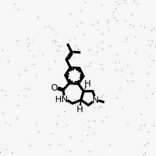 CC(C)=Cc1ccc2c(c1)C(=O)NC[C@H]1CN(C)C[C@H]21